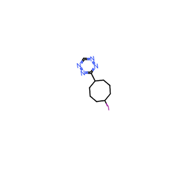 IC1CCCC(c2nncnn2)CCC1